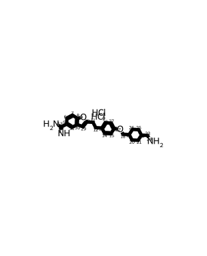 Cl.Cl.N=C(N)c1ccc2oc(CCc3ccc(OCC4CCC(CN)CC4)cc3)cc2c1